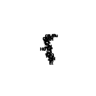 CCC1C[C@H]2COc3c(Sc4cnc(N5CCC6(CC5)CO[C@@H](C)[C@H]6NC(=O)OC(C)(C)C)c(CO)n4)ccnc3N2C1